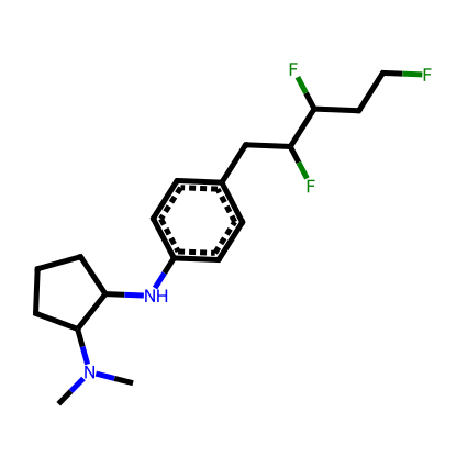 CN(C)C1CCCC1Nc1ccc(CC(F)C(F)CCF)cc1